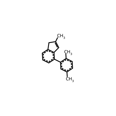 CC1=Cc2c(cccc2-c2cc(C)ccc2C)C1